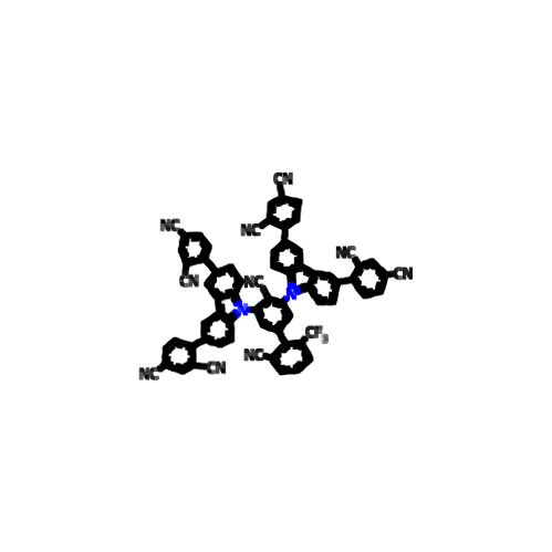 N#Cc1ccc(-c2ccc3c(c2)c2cc(-c4ccc(C#N)cc4C#N)ccc2n3-c2cc(-c3c(C#N)cccc3C(F)(F)F)cc(-n3c4ccc(-c5ccc(C#N)cc5C#N)cc4c4cc(-c5ccc(C#N)cc5C#N)ccc43)c2C#N)c(C#N)c1